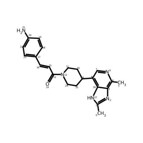 Cc1nc2c(C)ncc(C3CCN(C(=O)C=Cc4ccc(N)cc4)CC3)c2[nH]1